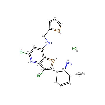 CO[C@@H]1C=CC[C@H](c2sc3c(NCc4cccs4)cc(Cl)nc3c2Br)[C@H]1N.Cl